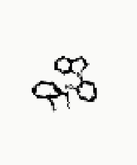 O=C(Nc1ccccc1N1CCc2ccccc21)c1ccccc1F